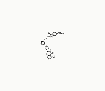 COc1ccc(C(=O)NCCCc2cccc(N3CC4CN(C(=O)c5c(F)cccc5Cl)CC4C3)c2)cc1